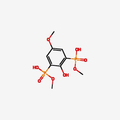 COc1cc(P(=O)(O)OC)c(O)c(P(=O)(O)OC)c1